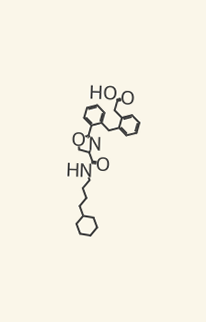 O=C(O)Cc1ccccc1Cc1ccccc1C1=NC(C(=O)NCCCCC2CCCCC2)CO1